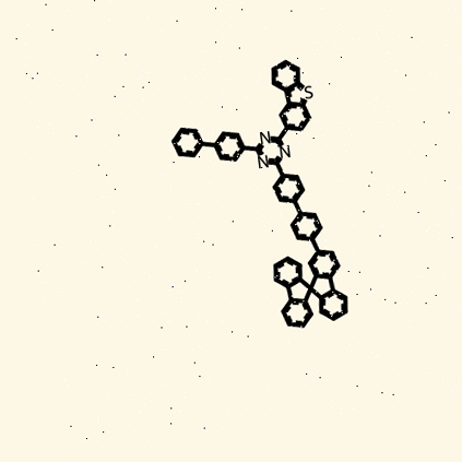 c1ccc(-c2ccc(-c3nc(-c4ccc(-c5ccc(-c6ccc7c(c6)C6(c8ccccc8-c8ccccc86)c6ccccc6-7)cc5)cc4)nc(-c4ccc5sc6ccccc6c5c4)n3)cc2)cc1